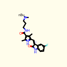 CCCCN(C)CCCNC(=O)c1c(C)[nH]c(/C=C2\C(=O)Nc3ccc(F)cc32)c1C